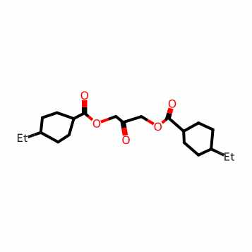 CCC1CCC(C(=O)OCC(=O)COC(=O)C2CCC(CC)CC2)CC1